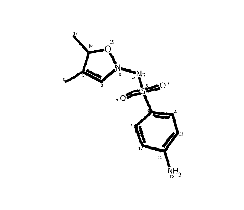 CC1=CN(NS(=O)(=O)c2ccc(N)cc2)OC1C